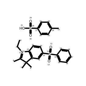 CC[N+]1=C(C)C(C)(C)c2cc(S(=O)(=O)c3ccccc3)ccc21.Cc1ccc(S(=O)(=O)O)cc1